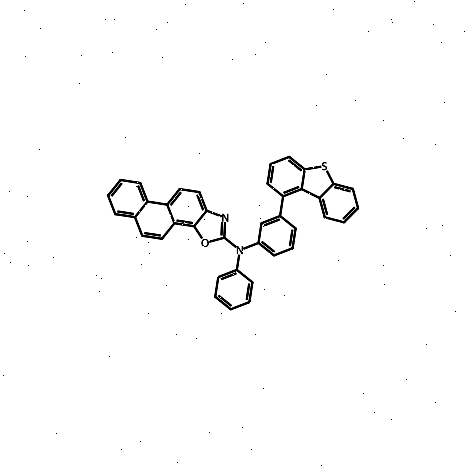 c1ccc(N(c2cccc(-c3cccc4sc5ccccc5c34)c2)c2nc3ccc4c5ccccc5ccc4c3o2)cc1